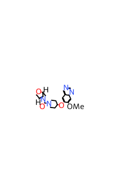 COc1cc2ncncc2cc1OC1CCN(C(=O)N2C[C@@H]3C[C@H]2CO3)CC1